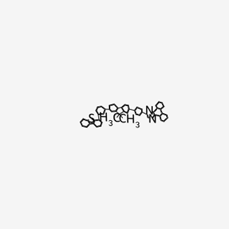 CC1(C)c2cc(-c3ccc(-c4cnc5c6ccccc6c6ccccc6c5n4)cc3)ccc2-c2ccc(-c3cccc(-c4cccc5c4sc4ccccc45)c3)cc21